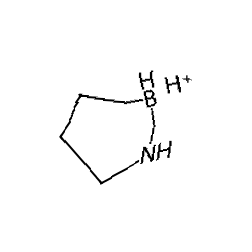 B1CCCN1.[H+]